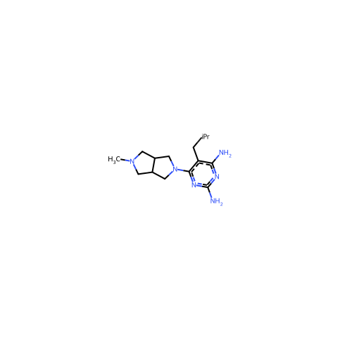 CC(C)Cc1c(N)nc(N)nc1N1CC2CN(C)CC2C1